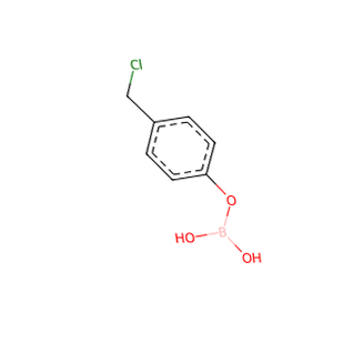 OB(O)Oc1ccc(CCl)cc1